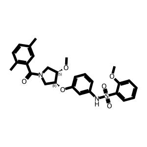 COc1ccccc1S(=O)(=O)Nc1cccc(O[C@@H]2CN(C(=O)c3cc(C)ccc3C)C[C@@H]2OC)c1